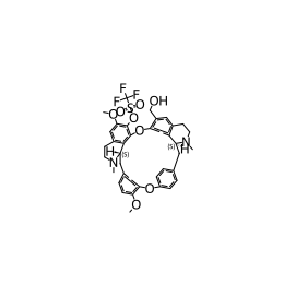 COc1ccc2cc1Oc1ccc(cc1)C[C@H]1c3cc(c(CO)cc3CCN1C)Oc1c(OS(=O)(=O)C(F)(F)F)c(OC)cc3c1[C@H](C2)N(C)CC3